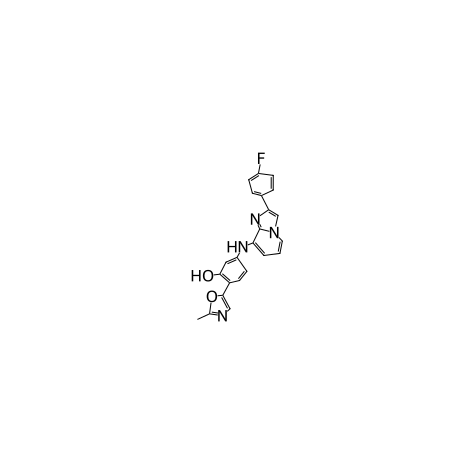 Cc1ncc(-c2ccc(Nc3cccn4cc(-c5ccc(F)cc5)nc34)cc2O)o1